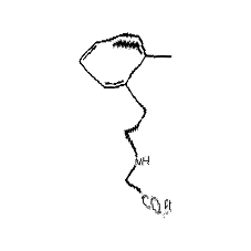 CCOC(=O)CNCCc1ccccc1C